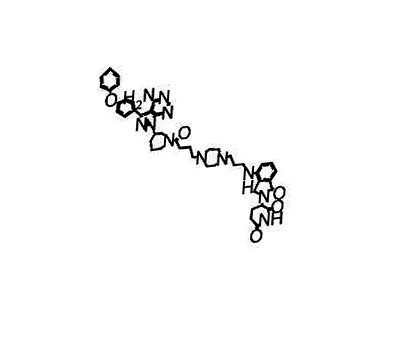 Nc1ncnc2c1c(-c1ccc(Oc3ccccc3)cc1)nn2[C@@H]1CCCN(C(=O)CCCN2CCN(CCCNc3cccc4c3CN(C3CCC(=O)NC3=O)C4=O)CC2)C1